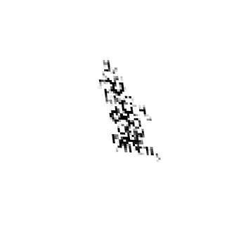 CNC(=O)C1(NC(=O)C(=O)c2c(C)c(C(=O)Nc3ccnc(C(C)F)c3F)n3c2CCC3)CC(F)(F)C1